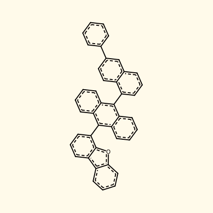 c1ccc(-c2ccc3c(-c4c5ccccc5c(-c5cccc6c5oc5ccccc56)c5ccccc45)cccc3c2)cc1